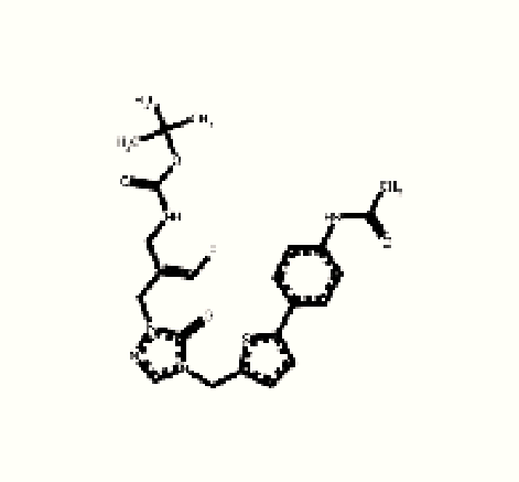 CC(=O)Nc1ccc(-c2ccc(Cn3cnn(CC(=CF)CNC(=O)OC(C)(C)C)c3=O)s2)cc1